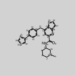 CN1CCCC(NC(=O)c2cc(Cc3ccc(-c4cscn4)cc3)c3sccc3n2)C1